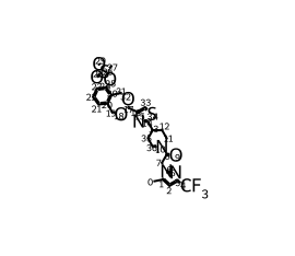 Cc1cc(C(F)(F)F)nn1CC(=O)N1CCC(c2nc(C3OCc4cccc(OS(C)(=O)=O)c4CO3)cs2)CC1